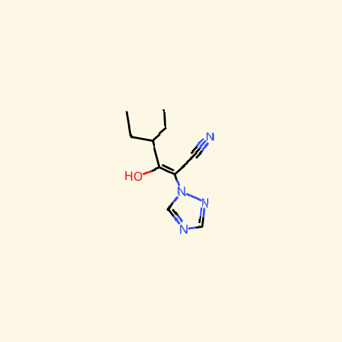 CCC(CC)C(O)=C(C#N)n1cncn1